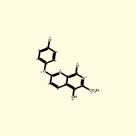 CCOC(=O)c1nc(Cl)c2nc(Oc3ccc(Cl)cc3)ccc2c1O